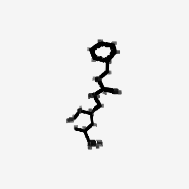 CCCO[C@@H](CNC(=O)OCc1ccccc1)CC(C)C(=O)O